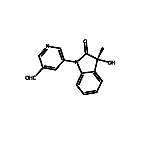 C[C@]1(O)C(=O)N(c2cncc(C=O)c2)c2ccccc21